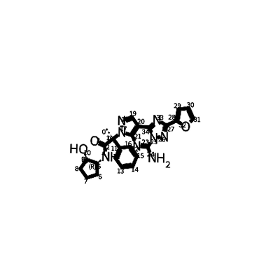 C[C@@](C(=O)N[C@@H]1CCC[C@@H]1O)(c1ccccc1)n1ncc2c1nc(N)n1nc(-c3ccco3)nc21